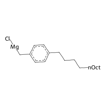 CCCCCCCCCCCCc1ccc([CH2][Mg][Cl])cc1